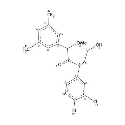 COC(C(=O)C(CCO)c1ccc(Cl)c(Cl)c1)c1cc(C(F)(F)F)cc(C(F)(F)F)c1